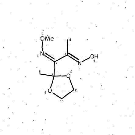 CON=C(C(C)=NO)C1(C)OCCO1